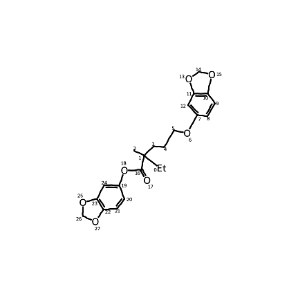 CCC(C)(CCCOc1ccc2c(c1)OCO2)C(=O)Oc1ccc2c(c1)OCO2